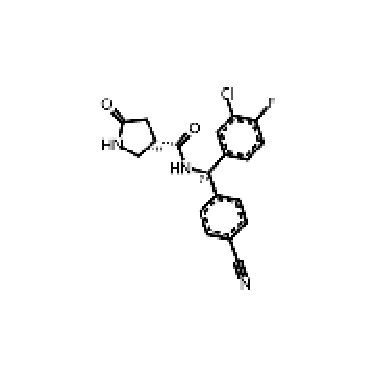 N#Cc1ccc([C@@H](NC(=O)[C@@H]2CNC(=O)C2)c2ccc(F)c(Cl)c2)cc1